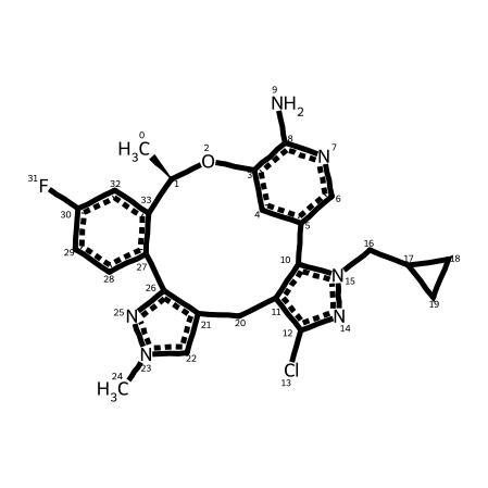 C[C@H]1Oc2cc(cnc2N)-c2c(c(Cl)nn2CC2CC2)Cc2cn(C)nc2-c2ccc(F)cc21